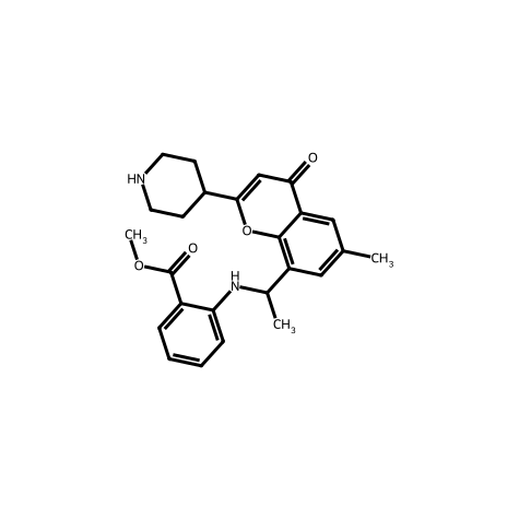 COC(=O)c1ccccc1NC(C)c1cc(C)cc2c(=O)cc(C3CCNCC3)oc12